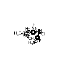 CCOP(=O)(NS(=O)(=O)c1ccc(-n2cnc(Cl)c2-c2ccc(OC)c(F)c2)cc1)OCC.[NaH]